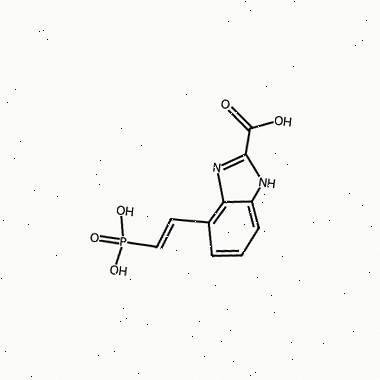 O=C(O)c1nc2c(C=CP(=O)(O)O)cccc2[nH]1